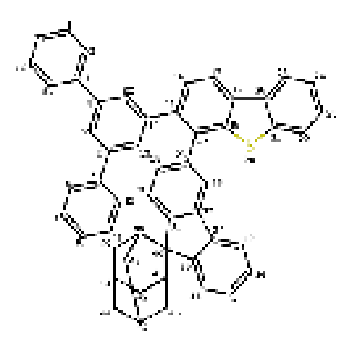 c1ccc(-c2cc(-c3ccccc3)cc(-c3ccc4c(sc5ccccc54)c3-c3ccc4c(c3)-c3ccccc3C43C4CC5CC(C4)CC3C5)c2)cc1